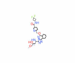 COC/C(O)=C/C(=N)c1nnc2c3ccccc3c(OCc3ccc(C(=O)NC4CC(F)(F)C4)cn3)nn12